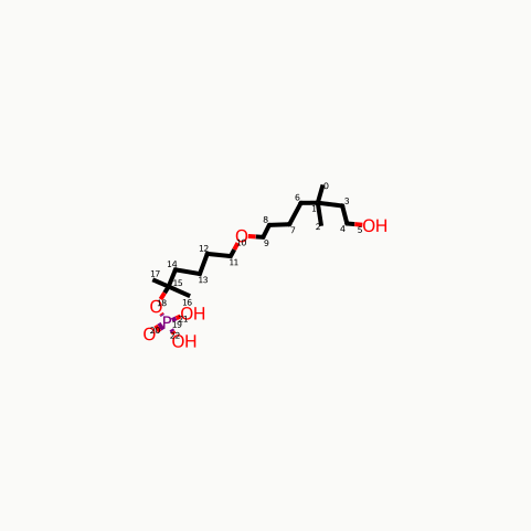 CC(C)(CCO)CCCCOCCCCC(C)(C)OP(=O)(O)O